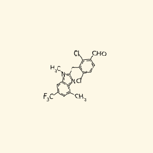 Cc1cc(C(F)(F)F)cc2c1nc(Cc1c(Cl)ccc(C=O)c1Cl)n2C